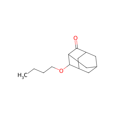 CCCCOC1C2CC3CC(C2)C(=O)C1C3